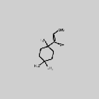 CC1(C)CCC(/C(O)=C/C=O)(C(F)(F)F)CC1